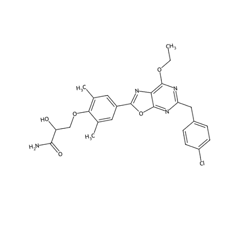 CCOc1nc(Cc2ccc(Cl)cc2)nc2oc(-c3cc(C)c(OCC(O)C(N)=O)c(C)c3)nc12